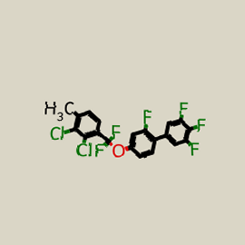 Cc1ccc(C(F)(F)Oc2ccc(-c3cc(F)c(F)c(F)c3)c(F)c2)c(Cl)c1Cl